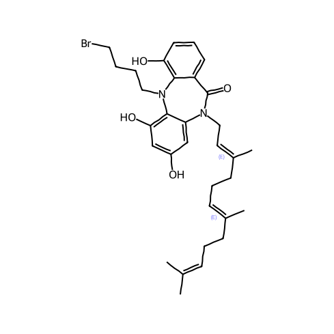 CC(C)=CCC/C(C)=C/CC/C(C)=C/CN1C(=O)c2cccc(O)c2N(CCCCBr)c2c(O)cc(O)cc21